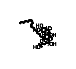 CCCCC/C=C\C/C=C\CCCCCCCC(=O)OC(CCC(C)(C)O)[C@](C)(O)[C@H]1CC[C@@]2(O)C3=CC(=O)[C@@H]4C[C@@H](O)[C@@H](O)C[C@]4(C)[C@H]3CC[C@]12C